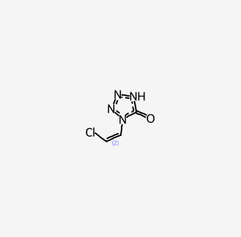 O=c1[nH]nnn1/C=C\Cl